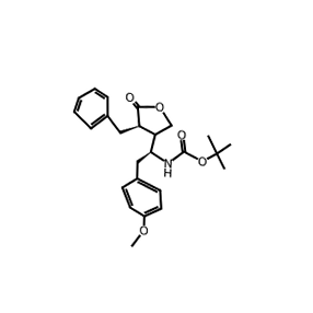 COc1ccc(C[C@H](NC(=O)OC(C)(C)C)C2COC(=O)[C@@H]2Cc2ccccc2)cc1